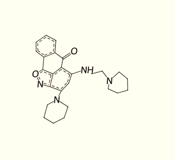 O=C1c2ccccc2-c2onc3c(N4CCCCC4)cc(NCCN4CCCCC4)c1c23